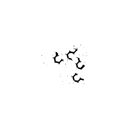 CC(=O)OCC1OC=CC(O[C@@H]2OC(C)[C@@H](OC(C)=O)C(OC(C)=O)[C@H]2OC(C)=O)[C@@H]1O[C@@H]1OC(COC(C)=O)[C@H](OC(C)=O)[C@H](OC(C)=O)C1OC1OC(C)[C@H](OC(C)=O)[C@H](OC(C)=O)C1OC(C)=O